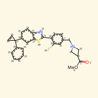 COC(=O)C1CN(Cc2ccc(-c3nc4ccc(C5(c6ccccc6)C=C5)cc4s3)c(F)c2)C1